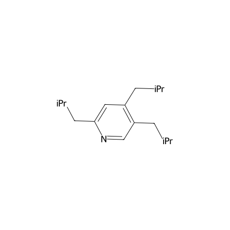 CC(C)Cc1cc(CC(C)C)c(CC(C)C)cn1